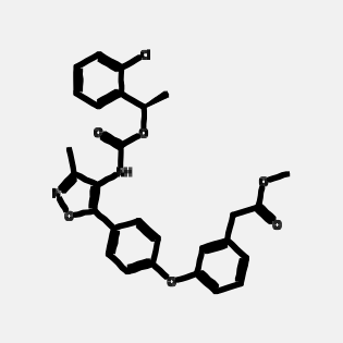 COC(=O)Cc1cccc(Oc2ccc(-c3onc(C)c3NC(=O)O[C@H](C)c3ccccc3Cl)cc2)c1